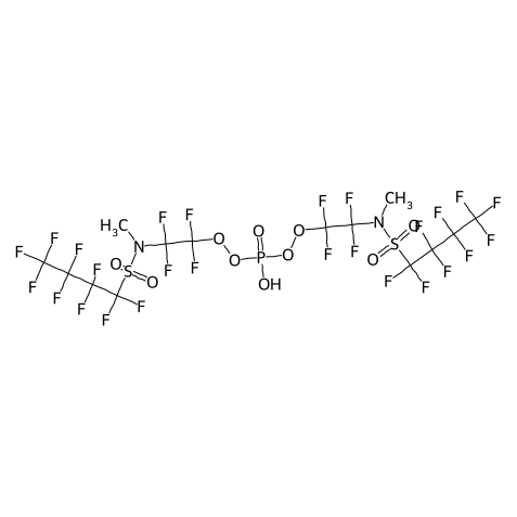 CN(C(F)(F)C(F)(F)OOP(=O)(O)OOC(F)(F)C(F)(F)N(C)S(=O)(=O)C(F)(F)C(F)(F)C(F)(F)C(F)(F)F)S(=O)(=O)C(F)(F)C(F)(F)C(F)(F)C(F)(F)F